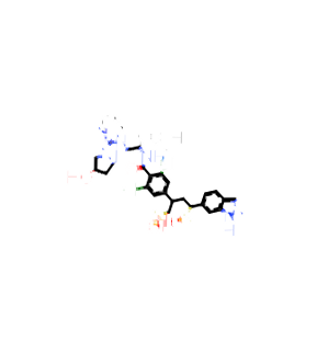 N#C/N=C(\NC[C@H](NC(=O)c1c(Cl)cc(C(CSO)CC(SO)c2ccc3cn[nH]c3c2)cc1Cl)C(=O)O)N1CC[C@H](O)C1